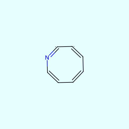 [C]1=C\C=C/C=C\N=[C]/1